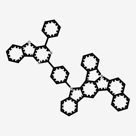 c1ccc(-c2nc(-c3ccc(-n4c5ccccc5c5cc6c7c8ccccc8ccc7n7c8ccccc8c(c54)c67)cc3)nc3c2oc2ccccc23)cc1